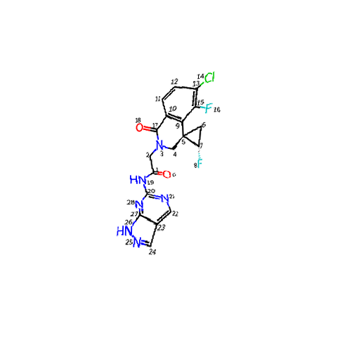 O=C(CN1C[C@]2(C[C@@H]2F)c2c(ccc(Cl)c2F)C1=O)Nc1ncc2cn[nH]c2n1